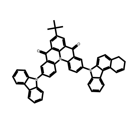 CC(C)(C)c1cc2c(=O)c3cc(-n4c5ccccc5c5ccccc54)ccc3n3c4ccc(-n5c6ccccc6c6c7c(ccc65)CCC=C7)cc4c(=O)c(c1)c23